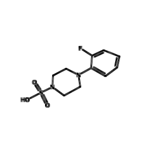 O=S(=O)(O)N1CCN(c2ccccc2F)CC1